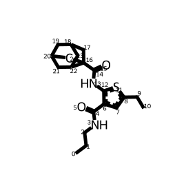 CCCNC(=O)c1cc(CC)sc1NC(=O)C12CC3CC(CC1C3)C2